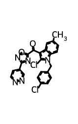 Cc1ccc2c(c1)c(C(=O)c1nc(-c3ccnnc3)no1)c(Cl)n2Cc1ccc(Cl)cc1